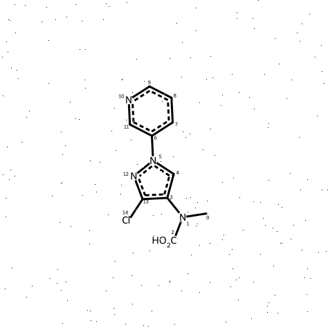 CN(C(=O)O)c1cn(-c2cccnc2)nc1Cl